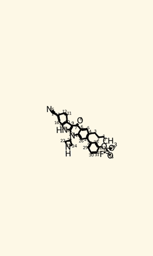 CCCCc1cc2c(=O)c3c4ccc(C#N)cc4[nH]c3n(C3CNC3)c2cc1-c1cccc(OS(=O)(=O)F)c1